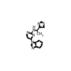 CC(Nc1nccc(-n2cnc3ccccc32)n1)c1cscn1